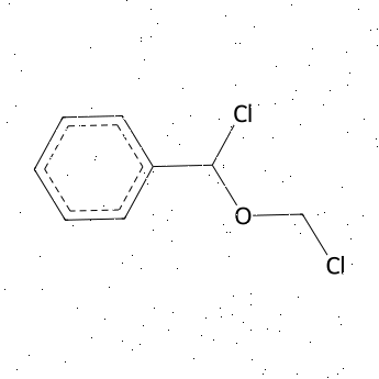 ClCOC(Cl)c1ccccc1